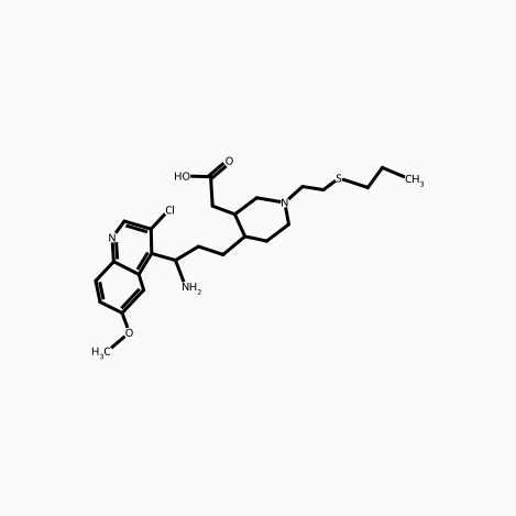 CCCSCCN1CCC(CCC(N)c2c(Cl)cnc3ccc(OC)cc23)C(CC(=O)O)C1